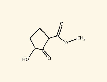 COC(=O)C1CCN(O)C1=O